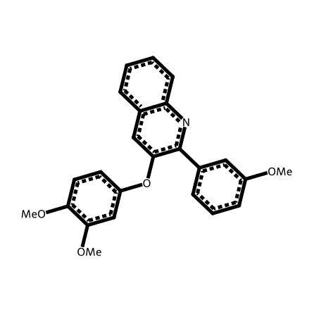 COc1cccc(-c2nc3ccccc3cc2Oc2ccc(OC)c(OC)c2)c1